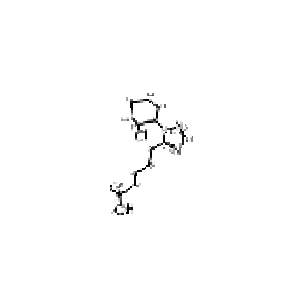 O=C(O)CCCCc1nnnn1C1CCCCC1Cl